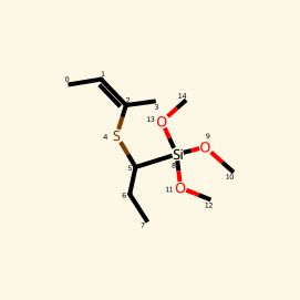 CC=C(C)SC(CC)[Si](OC)(OC)OC